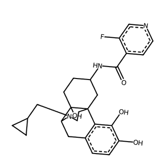 O=C(NC1CCC2(O)C3Cc4ccc(O)c(O)c4C2(CCN3CC2CC2)C1)c1ccncc1F